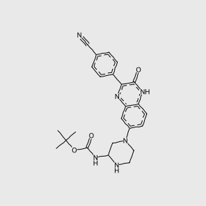 CC(C)(C)OC(=O)NC1CN(c2ccc3[nH]c(=O)c(-c4ccc(C#N)cc4)nc3c2)CCN1